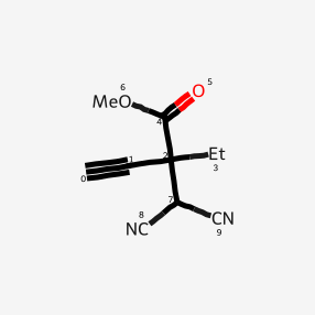 C#CC(CC)(C(=O)OC)C(C#N)C#N